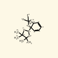 CC1(C)OB(C2(OC(F)(F)F)C=CC=CC2N)OC1(C)C